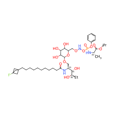 CC[C@@H](O)[C@@H](O)[C@H](COC1OC(CONOP(=O)(N[C@@H](C)C(=O)OC(C)C)Oc2ccccc2)C(O)C(O)C1O)NC(=O)CCCCCCCCCCC12CC(F)(C1)C2